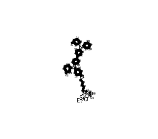 CC[Si](=O)C[Si](C)(CCCCCOc1ccc(N(c2ccc(-c3ccc(N(c4ccccc4)c4cccc(C)c4)cc3)cc2)c2cccc(C)c2)cc1)O[Si](C)(C)C